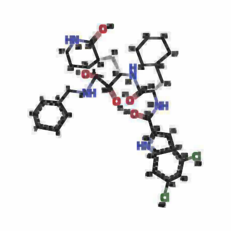 O=C(NCc1ccccc1)C(=O)[C@H](C[C@@H]1CCCNC1=O)NC(=O)[C@H](CC1CCCCC1)NC(=O)c1cc2c(Cl)cc(Cl)cc2[nH]1